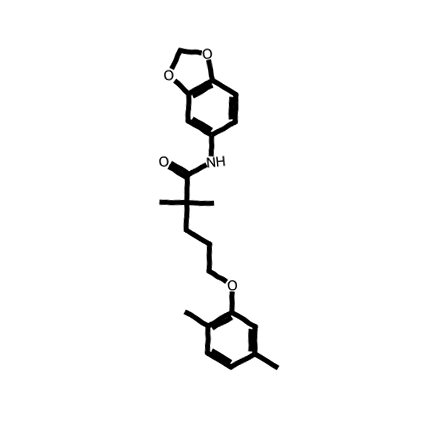 Cc1ccc(C)c(OCCCC(C)(C)C(=O)Nc2ccc3c(c2)OCO3)c1